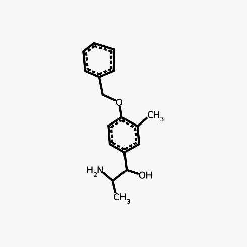 Cc1cc(C(O)C(C)N)ccc1OCc1ccccc1